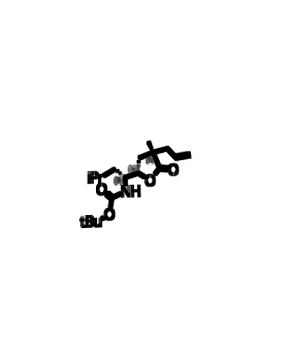 C=CC[C@@]1(C)C[C@@H]([C@@H](CC(C)C)NC(=O)OC(C)(C)C)OC1=O